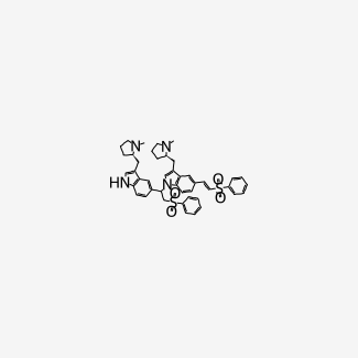 CN1CCC[C@@H]1Cc1c[nH]c2ccc(C(CS(=O)(=O)c3ccccc3)n3cc(C[C@H]4CCCN4C)c4cc(/C=C/S(=O)(=O)c5ccccc5)ccc43)cc12